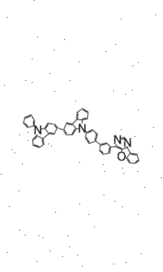 c1ccc(-n2c3ccccc3c3cc(-c4ccc5c(c4)c4ccccc4n5-c4ccc(-c5cccc(-c6ncnc7c6oc6ccccc67)c5)cc4)ccc32)cc1